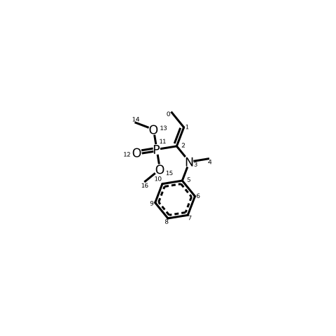 CC=C(N(C)c1ccccc1)P(=O)(OC)OC